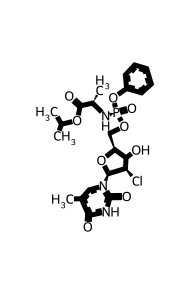 Cc1cn([C@H]2O[C@@H](CO[P@](=O)(N[C@@H](C)C(=O)OC(C)C)Oc3ccccc3)C(O)[C@H]2Cl)c(=O)[nH]c1=O